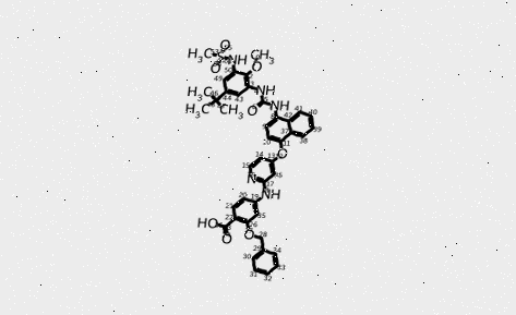 COc1c(NC(=O)Nc2ccc(Oc3ccnc(Nc4ccc(C(=O)O)c(OCc5ccccc5)c4)c3)c3ccccc23)cc(C(C)(C)C)cc1NS(C)(=O)=O